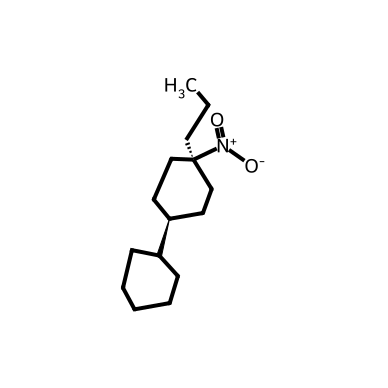 CCC[C@]1([N+](=O)[O-])CC[C@@H](C2CCCCC2)CC1